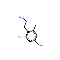 COc1ccc(CCN)c(C)c1.Cl